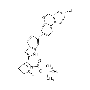 CC(C)(C)OC(=O)N1[C@@H]2CCC(C2)[C@H]1c1nc2ccc(-c3ccc4c(c3)OCc3cc(Cl)ccc3-4)cc2[nH]1